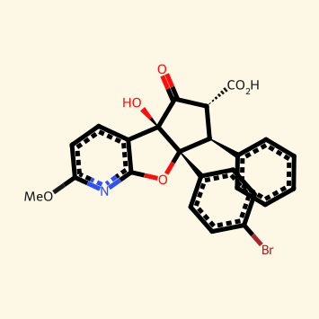 COc1ccc2c(n1)O[C@@]1(c3ccc(Br)cc3)[C@H](c3ccccc3)[C@@H](C(=O)O)C(=O)[C@@]21O